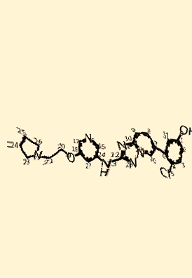 Oc1ccc(Cl)c(-c2ccc3nc(Nc4cncc(OCCN5CCCC5)c4)nn3c2)c1